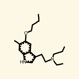 CCCCOc1cc2c(CCN(CC)CCC)c[nH]c2cc1C